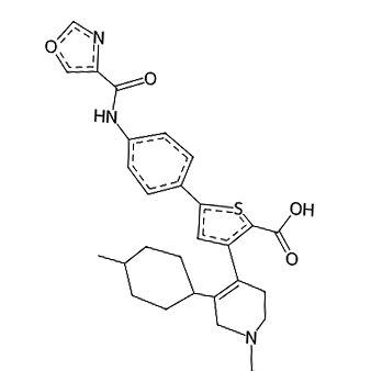 CCN1CCC(c2cc(-c3ccc(NC(=O)c4cocn4)cc3)sc2C(=O)O)=C(C2CCC(C)CC2)C1